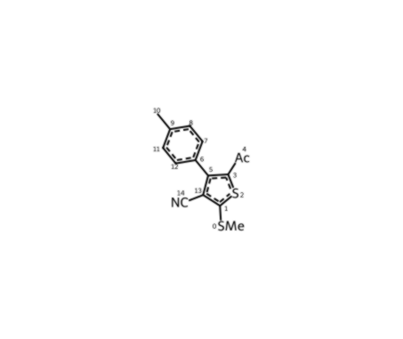 CSc1sc(C(C)=O)c(-c2ccc(C)cc2)c1C#N